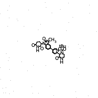 Cn1c(=O)n(C2CCC(=O)NC2=O)c2ccc(-c3ccc(C4C(=O)NCCN4C(=O)OC(C)(C)C)nc3)cc21